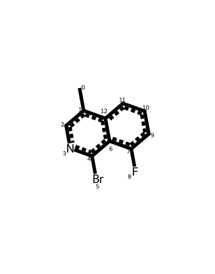 Cc1cnc(Br)c2c(F)cccc12